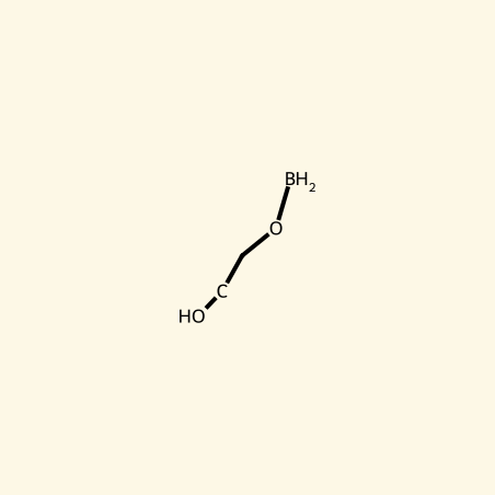 BOCCO